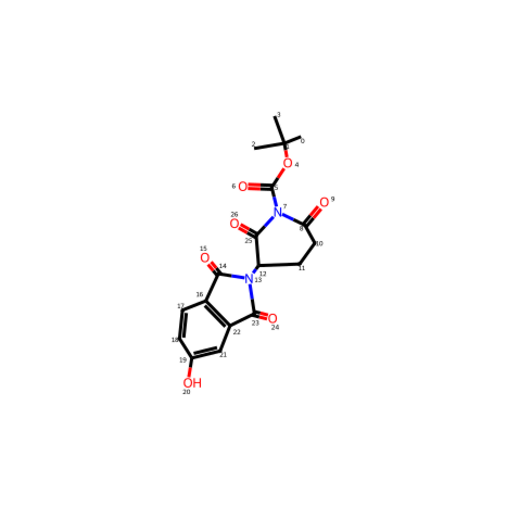 CC(C)(C)OC(=O)N1C(=O)CCC(N2C(=O)c3ccc(O)cc3C2=O)C1=O